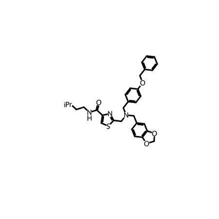 CC(C)CCNC(=O)c1csc(CN(Cc2ccc(OCc3ccccc3)cc2)Cc2ccc3c(c2)OCO3)n1